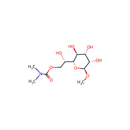 CO[C@H]1O[C@H]([C@@H](O)COC(=O)N(C)C)[C@@H](O)[C@H](O)[C@@H]1O